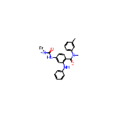 CCNC(=O)Nc1ccc(C(=O)N(C)c2cccc(C)c2)c(Nc2ccccc2)c1